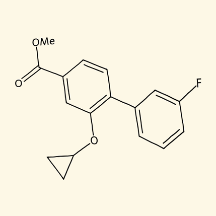 COC(=O)c1ccc(-c2cccc(F)c2)c(OC2CC2)c1